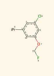 CC(C)c1cc(Cl)cc(OCF)c1